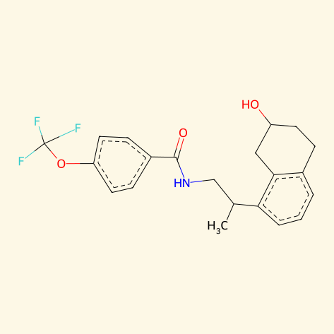 CC(CNC(=O)c1ccc(OC(F)(F)F)cc1)c1cccc2c1CC(O)CC2